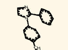 Cc1ccc(-n2ccnc2-c2c[c]ccc2)cc1